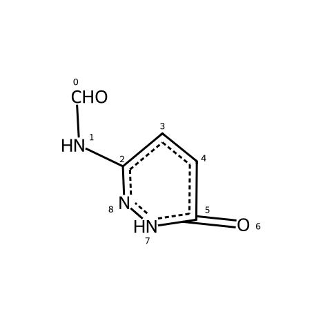 O=CNc1ccc(=O)[nH]n1